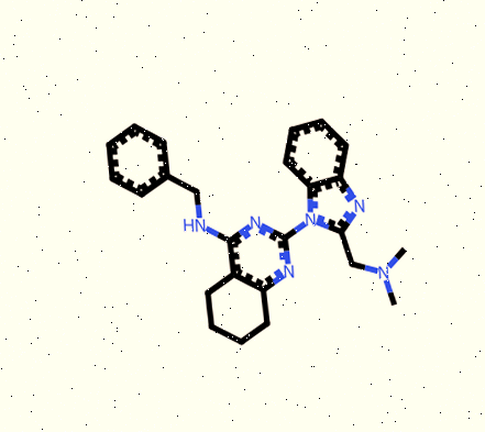 CN(C)Cc1nc2ccccc2n1-c1nc2c(c(NCc3ccccc3)n1)CCCC2